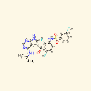 CC(C)Nc1ncnc2[nH]cc(C(=O)c3c(F)ccc(NS(=O)(=O)c4cccc(F)c4)c3F)c12